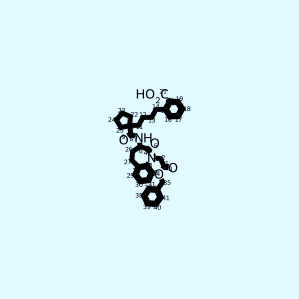 O=C(CN1C(=O)C(NC(=O)C2(CCCCc3ccccc3C(=O)O)CCCC2)CCc2ccccc21)OCc1ccccc1